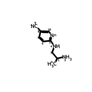 CC(N)CNc1ccc(C#N)cn1